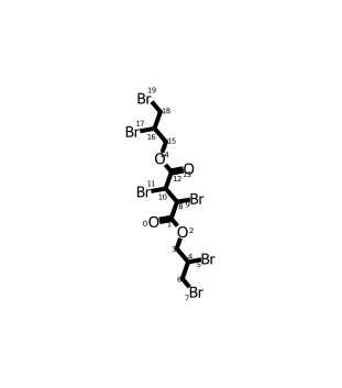 O=C(OCC(Br)CBr)C(Br)C(Br)C(=O)OCC(Br)CBr